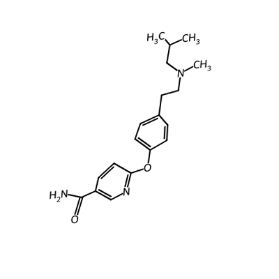 CC(C)CN(C)CCc1ccc(Oc2ccc(C(N)=O)cn2)cc1